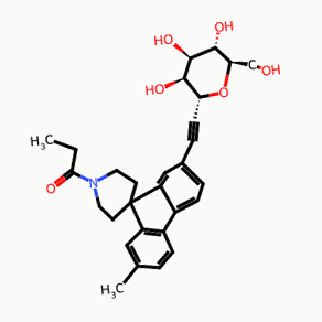 CCC(=O)N1CCC2(CC1)c1cc(C)ccc1-c1ccc(C#C[C@H]3O[C@H](CO)[C@@H](O)[C@H](O)[C@@H]3O)cc12